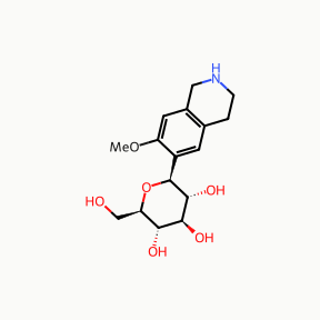 COc1cc2c(cc1[C@@H]1O[C@H](CO)[C@@H](O)[C@H](O)[C@H]1O)CCNC2